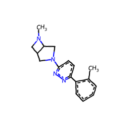 Cc1ccccc1-c1ccc(N2CC3CN(C)C3C2)nn1